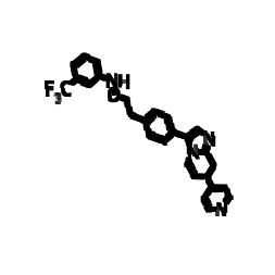 FC(F)(F)c1cccc(NOCCc2ccc(-c3cnc4n3C=CC(c3ccncc3)C4)cc2)c1